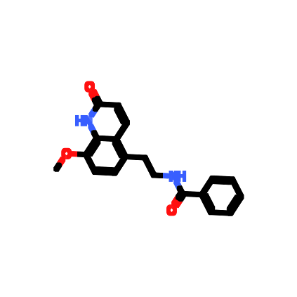 COc1ccc(CCNC(=O)c2ccccc2)c2ccc(=O)[nH]c12